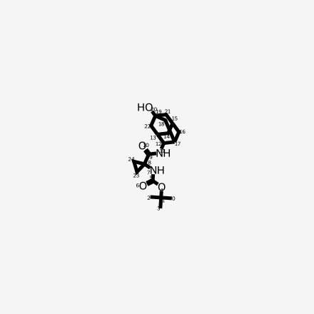 CC(C)(C)OC(=O)NC1(C(=O)NC2C3CC4CC2CC(O)(C4)C3)CC1